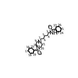 O=C(NCCCCCN1CCN(C(=O)c2ccccc2)CC1)c1ccccc1